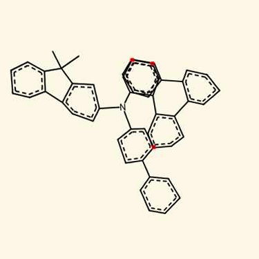 CC1(C)c2ccccc2-c2ccc(N(c3ccc(-c4ccccc4)cc3)c3ccccc3-c3ccccc3-c3ccccc3-c3ccccc3)cc21